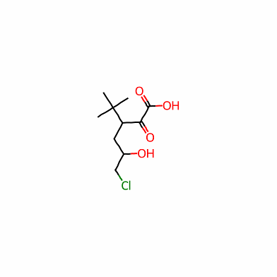 CC(C)(C)C(CC(O)CCl)C(=O)C(=O)O